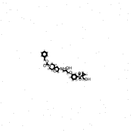 O=C(OCc1ccccc1)N1CCC2(CC1)C[C@H](NC[C@H](O)COc1cccc(S(=O)(=O)C3(CO)CC3)c1)CO2